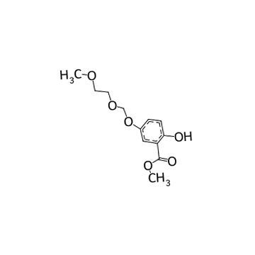 COCCOCOc1ccc(O)c(C(=O)OC)c1